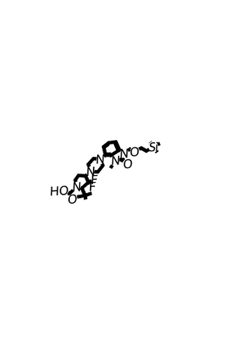 Cn1c(=O)n(COCC[Si](C)(C)C)c2cccc(N3CCN(C4CCN(C(=O)O)C(C(C)(C)C)C4(F)F)CC3)c21